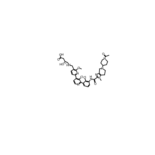 COc1nc(-c2ccnc(-c3cccc(NC(=O)c4nc5c(n4C)CCN(C4CCN(C(C)=O)CC4)C5)c3Cl)c2Cl)ccc1CNC[C@@H](O)CC(=O)O